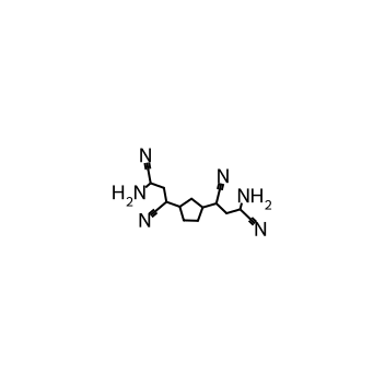 N#CC(N)CC(C#N)C1CCC(C(C#N)CC(N)C#N)C1